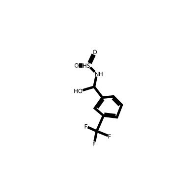 O=[SH](=O)NC(O)c1cccc(C(F)(F)F)c1